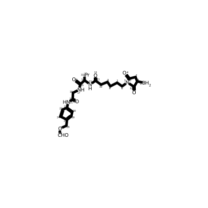 BC1CC(=O)N(CCCCCC(=O)NC(C(=O)NCC(=O)Nc2ccc(COC=O)cc2)C(C)C)C1=O